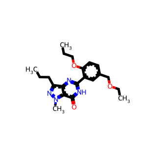 CCCOc1ccc(COCC)cc1-c1nc2c(CCC)nn(C)c2c(=O)[nH]1